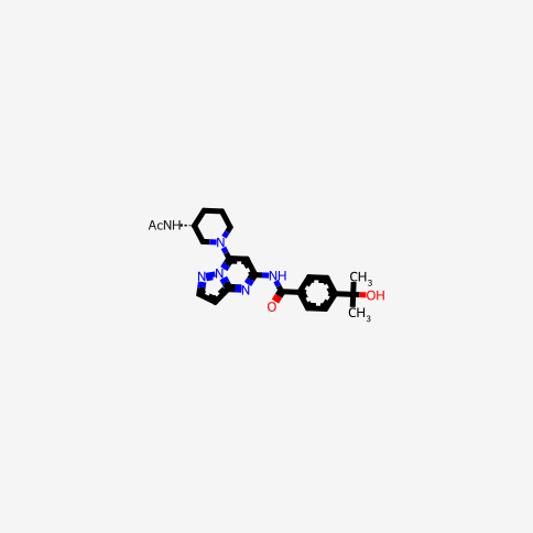 CC(=O)N[C@@H]1CCCN(c2cc(NC(=O)c3ccc(C(C)(C)O)cc3)nc3ccnn23)C1